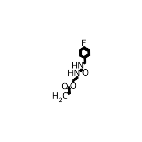 C=CC(=O)OCCNC(=O)NCc1ccc(F)cc1